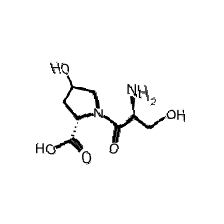 N[C@@H](CO)C(=O)N1CC(O)C[C@H]1C(=O)O